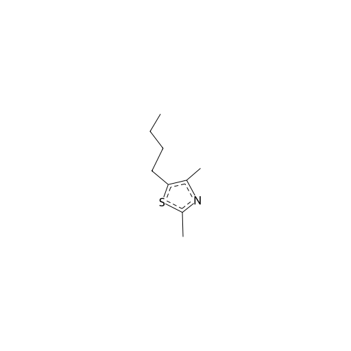 CCCCc1sc(C)nc1C